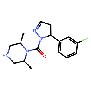 C[C@@H]1CNC[C@H](C)N1C(=O)N1N=CCC1c1cccc(F)c1